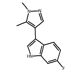 Cc1c(-c2c[nH]c3cc(F)ccc23)cnn1C